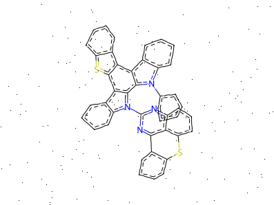 c1ccc(-n2c3ccccc3c3c4c5ccccc5sc4c4c5ccccc5n(-c5nc6c7c(cccc7n5)Sc5ccccc5-6)c4c32)cc1